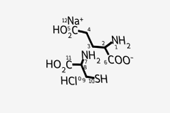 Cl.NC(CCC(=O)O)C(=O)[O-].NC(CS)C(=O)O.[Na+]